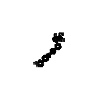 CCCCOC(OCCCC)C1CCC2(CC1)CN(c1ccc([C@@H]3CCCN(c4ccc(Cl)c5c(C#N)c[nH]c45)C3)cc1)C2